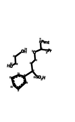 CCCCCC(CCC)OCCC(c1ccccc1)S(=O)(=O)O.OCCO